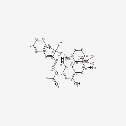 CC(=O)OC1=CC(O)=C2C[C@@H]3[C@@H]4CCC[C@@H]5OC1(NC(=O)C(=Cc1ccccc1)C(F)(F)F)C2[C@@]54CC[N+]3(C)C